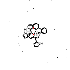 c1c[nH]c(P(CNc2ccccc2-c2ccccc2NCP(c2ccc[nH]2)c2ccc[nH]2)c2ccc[nH]2)c1